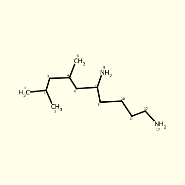 CC(C)CC(C)CC(N)CCCCN